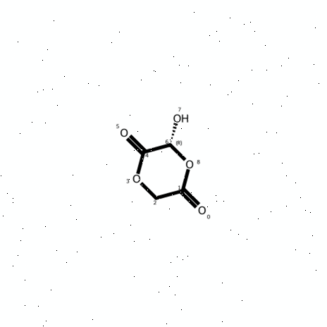 O=C1COC(=O)[C@H](O)O1